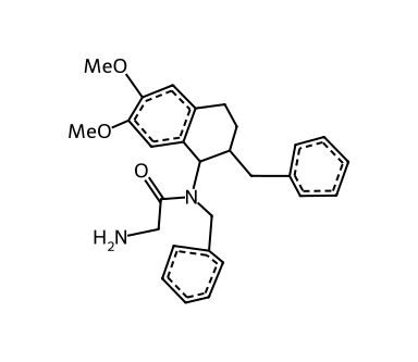 COc1cc2c(cc1OC)C(N(Cc1ccccc1)C(=O)CN)C(Cc1ccccc1)CC2